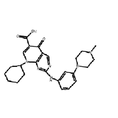 CN1CCN(c2cccc(Nc3ncc4c(=O)c(C(=O)O)cn(C5CCCCC5)c4n3)c2)CC1